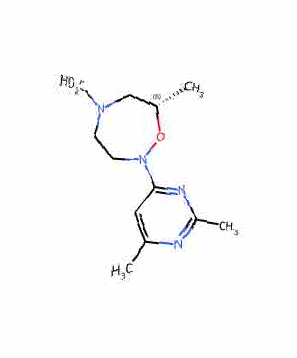 Cc1cc(N2CCN(C(=O)O)C[C@H](C)O2)nc(C)n1